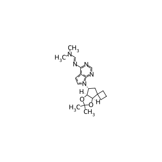 CN(C)/C=N/c1ncnc2c1ccn2[C@@H]1CC2(CCC2)[C@H]2OC(C)(C)O[C@@H]12